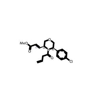 C=CCC(=O)N1[C@@H](/C=C/C(=O)OC)COC[C@H]1c1ccc(Cl)cc1